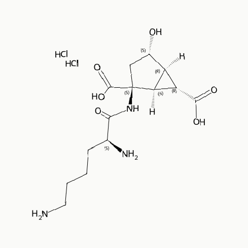 Cl.Cl.NCCCC[C@H](N)C(=O)N[C@@]1(C(=O)O)C[C@H](O)[C@H]2[C@H](C(=O)O)[C@H]21